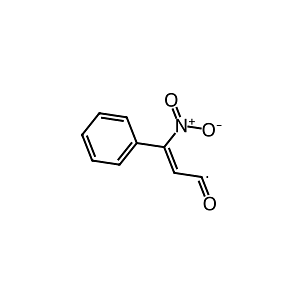 O=[C]C=C(c1ccccc1)[N+](=O)[O-]